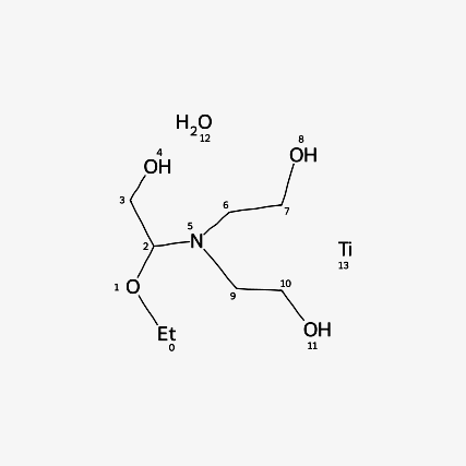 CCOC(CO)N(CCO)CCO.O.[Ti]